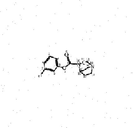 O=C(Oc1cccc(I)c1)N1CCN2CCC1CC2